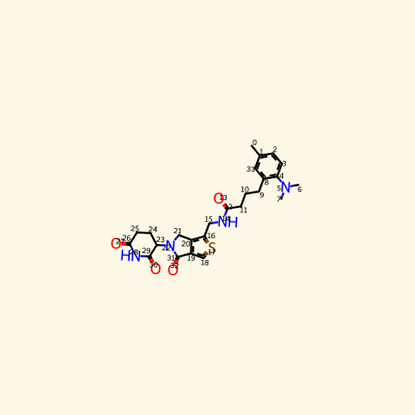 Cc1ccc(N(C)C)c(CCCC(=O)NCc2scc3c2CN(C2CCC(=O)NC2=O)C3=O)c1